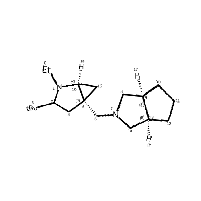 CCN1C(C(C)(C)C)C[C@]2(CN3C[C@H]4CCC[C@H]4C3)C[C@H]12